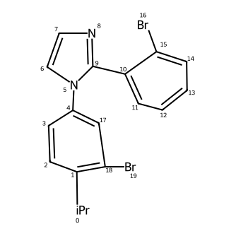 CC(C)c1ccc(-n2ccnc2-c2ccccc2Br)cc1Br